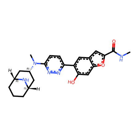 CNC(=O)c1cc2cc(-c3ccc(N(C)[C@H]4C[C@H]5CCC[C@@H](C4)N5)nn3)c(O)cc2o1